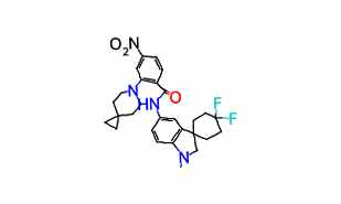 CN1CC2(CCC(F)(F)CC2)c2cc(NC(=O)c3ccc([N+](=O)[O-])cc3N3CCC4(CC3)CC4)ccc21